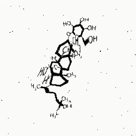 C/C(=C/CCC(C)(C)O)[C@H]1CC[C@]2(C)[C@@H]1[C@H](O)C[C@@H]1[C@@]3(C)CC[C@H](O[C@@H]4O[C@H](CO)[C@@H](O)[C@H](O)[C@H]4O)C(C)(C)[C@@H]3CC[C@]12C